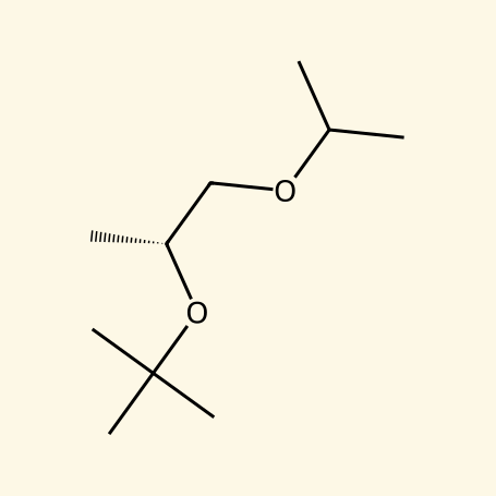 CC(C)OC[C@@H](C)OC(C)(C)C